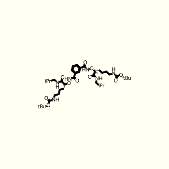 CC(C)CNC(=O)[C@@H](CCCCNC(=O)OC(C)(C)C)ONC(=O)c1cccc(C(=O)NO[C@H](CCCCNC(=O)OC(C)(C)C)C(=O)NCC(C)C)c1